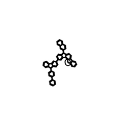 c1ccc(-c2ccc(C3c4ccccc4-c4cc(-c5ccc6c(c5)-c5c(ccc7c5oc5ccccc57)C6c5ccc6ccccc6c5)ccc43)cc2)cc1